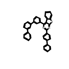 c1ccc(-c2ccc(-c3nc(-c4cccc(-c5cccc(-c6ccccc6)c5)c4)c4c(n3)sc3ccccc34)cc2)cc1